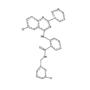 O=C(NCc1cccc(Cl)c1)c1ccccc1Nc1nc(-c2cccnc2)nc2ccc(Cl)cc12